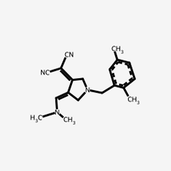 Cc1ccc(C)c(CN2CC(=CN(C)C)C(=C(C#N)C#N)C2)c1